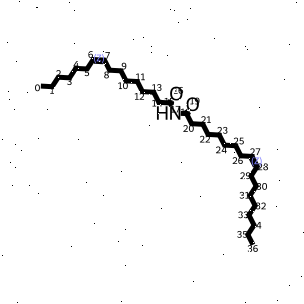 CCCCCC/C=C\CCCCCCCC(=O)NC(=O)CCCCCCC/C=C\CCCCCCCC